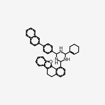 C1=C(C2NC(c3ccc(-c4ccc5ccccc5c4)cc3)NC(c3cccc4c3-c3oc5ccccc5c3CC4)N2)CCCC1